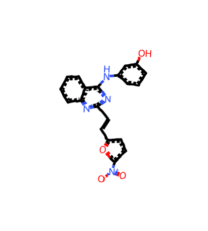 O=[N+]([O-])c1ccc(C=Cc2nc(Nc3cccc(O)c3)c3ccccc3n2)o1